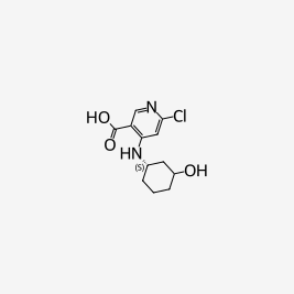 O=C(O)c1cnc(Cl)cc1N[C@H]1CCCC(O)C1